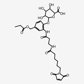 CCC(=O)OCc1ccc(OC2OC(C(=O)O)C(O)C(O)C2O)c(NC(=O)CCNC(=O)CCCCCN2C(=O)C=CC2=O)c1